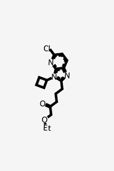 CCOCC(=O)CCCc1nc2ccc(Cl)nc2n1C1CCC1